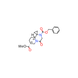 COC(=O)[C@@H]1CC[C@H]2N(C1)C(=O)CN(C(=O)OCc1ccccc1)C21CC1